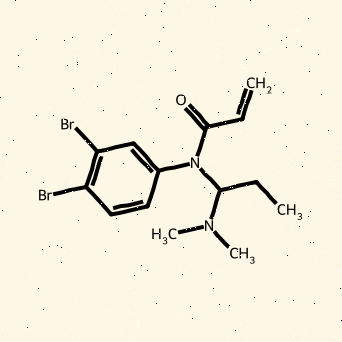 C=CC(=O)N(c1ccc(Br)c(Br)c1)C(CC)N(C)C